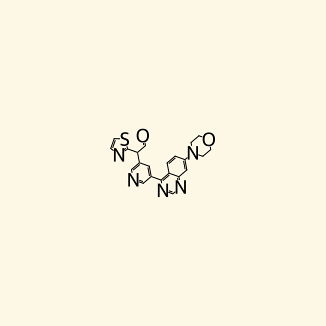 O=CC(c1cncc(-c2ncnc3cc(N4CCOCC4)ccc23)c1)c1nccs1